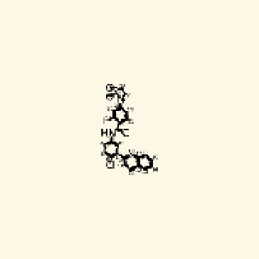 O=C(Nc1ccc(Cl)c(-c2ccc3ccccc3n2)c1)c1ccc(N2CCS2(=O)=O)cc1F